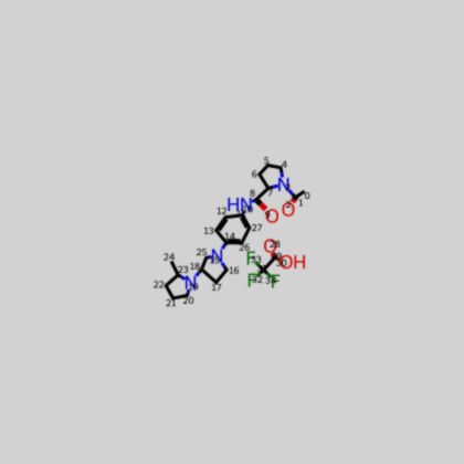 CC(=O)N1CCCC1C(=O)Nc1ccc(N2CCC(N3CCCC3C)C2)cc1.O=C(O)C(F)(F)F